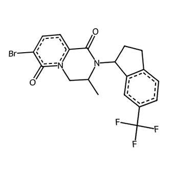 CC1Cn2c(ccc(Br)c2=O)C(=O)N1C1CCc2ccc(C(F)(F)F)cc21